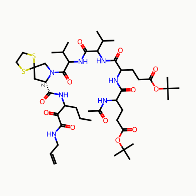 C=CCNC(=O)C(=O)C(CCC)NC(=O)[C@@H]1CC2(CN1C(=O)C(NC(=O)C(NC(=O)C(CCC(=O)OC(C)(C)C)NC(=O)C(CCC(=O)OC(C)(C)C)NC(C)=O)C(C)C)C(C)C)SCCS2